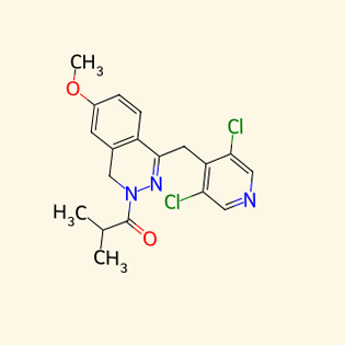 COc1ccc2c(c1)CN(C(=O)C(C)C)N=C2Cc1c(Cl)cncc1Cl